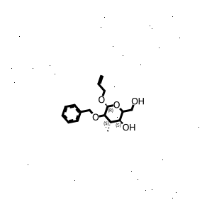 C=CCO[C@@H]1OC(CO)[C@@H](O)[C@H](C)C1OCc1ccccc1